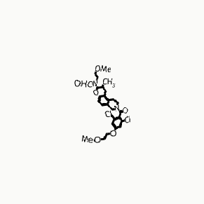 COCCOc1cc(Cl)c(C(=O)N2CCc3c(CC(C)C(=O)N(C=O)CCOC)cccc3C2)c(Cl)c1